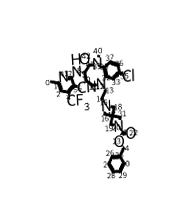 Cc1cc(C(F)(F)F)c(C#N)c(N[C@H]2CCN(CCN3CC4(C3)CN(C(=O)OCc3ccccc3)C4)c3cc(Cl)ccc3N(C)C2=O)n1